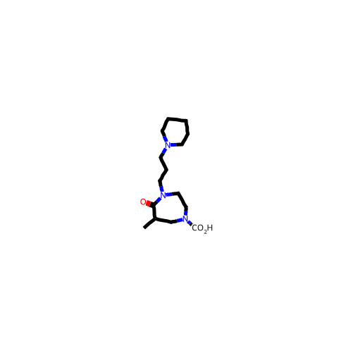 CC1CN(C(=O)O)CCN(CCCN2CCCCC2)C1=O